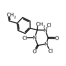 C=Cc1ccc(C2(C)N(Cl)C(=O)N(Cl)C(=O)N2Cl)cc1